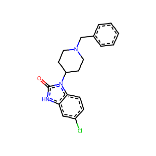 O=c1[nH]c2cc(Cl)ccc2n1C1CCN(Cc2ccccc2)CC1